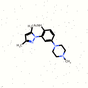 CC(=O)Nc1ccc(N2CCN(C)CC2)cc1-n1nc(C)cc1C